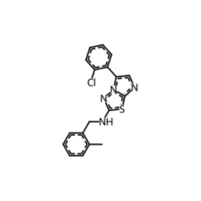 Cc1ccccc1CNc1nn2c(-c3ccccc3Cl)cnc2s1